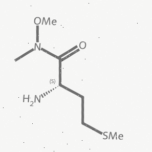 CON(C)C(=O)[C@@H](N)CCSC